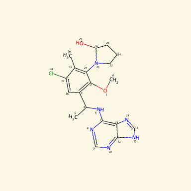 COc1c(C(C)Nc2ncnc3[nH]cnc23)cc(Cl)c(C)c1N1CCCC1O